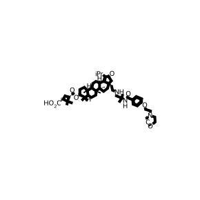 CC(C)C1=C2[C@H]3CC[C@@H]4[C@@]5(C)CC[C@H](OC(=O)[C@H]6C[C@@H](C(=O)O)C6(C)C)C(C)(C)[C@@H]5CC[C@@]4(C)[C@]3(C)CC[C@@]2(CCNCC(C)(C)NC(=O)c2ccc(OCCN3CCOCC3)cc2)CC1=O